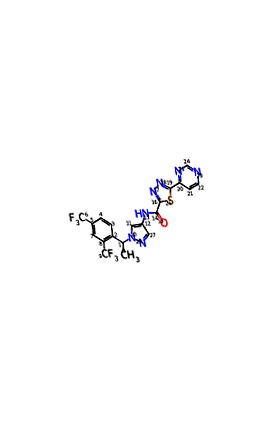 CC(c1ccc(C(F)(F)F)cc1C(F)(F)F)n1cc(NC(=O)c2nnc(-c3ccncn3)s2)cn1